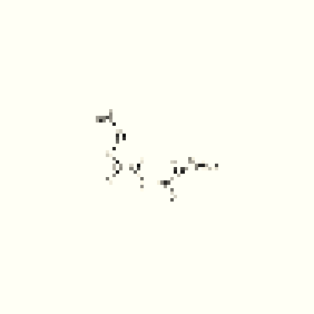 C[CH][CH]OCC(C)OCC(C)OCCCCCC